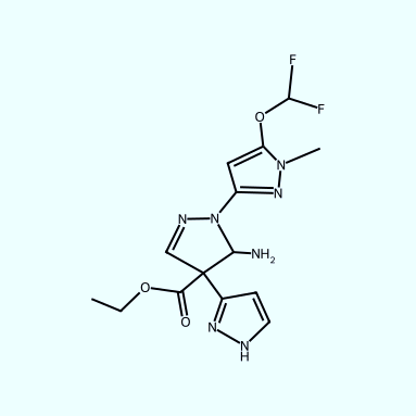 CCOC(=O)C1(c2cc[nH]n2)C=NN(c2cc(OC(F)F)n(C)n2)C1N